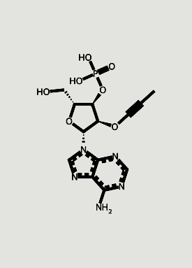 CC#CO[C@@H]1[C@H](OP(=O)(O)O)[C@@H](CO)O[C@H]1n1cnc2c(N)ncnc21